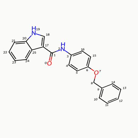 O=C(Nc1ccc(OCc2ccccc2)cc1)c1c[nH]c2ccccc12